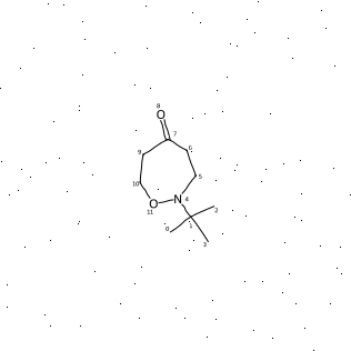 CC(C)(C)N1CCC(=O)CCO1